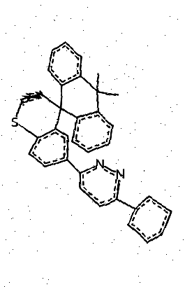 CC1(C)c2ccccc2C2(c3ccccc3Sc3ccc(-c4ccc(-c5ccccc5)nn4)cc32)c2ccccc21